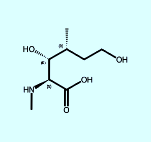 CN[C@H](C(=O)O)[C@H](O)[C@H](C)CCO